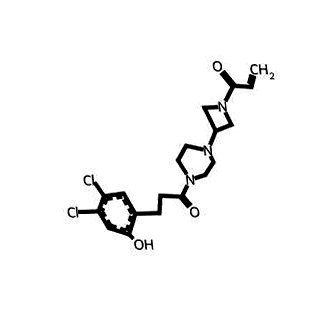 C=CC(=O)N1CC(N2CCN(C(=O)CCc3cc(Cl)c(Cl)cc3O)CC2)C1